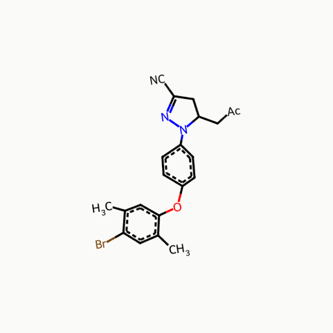 CC(=O)CC1CC(C#N)=NN1c1ccc(Oc2cc(C)c(Br)cc2C)cc1